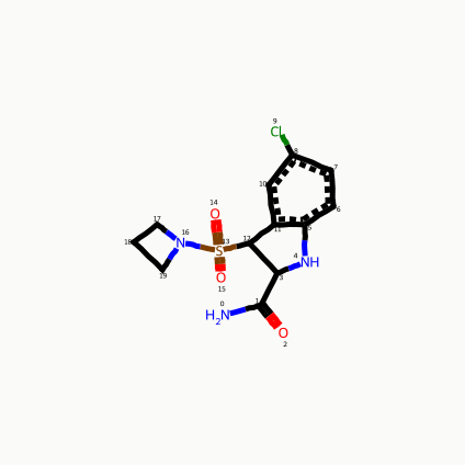 NC(=O)C1Nc2ccc(Cl)cc2C1S(=O)(=O)N1CCC1